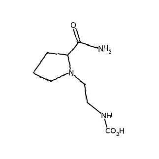 NC(=O)C1CCCN1CCNC(=O)O